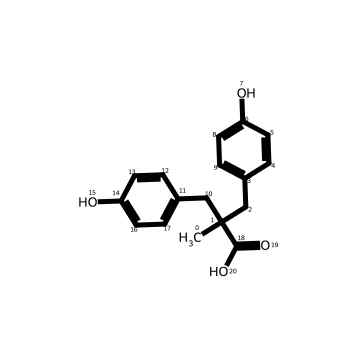 CC(Cc1ccc(O)cc1)(Cc1ccc(O)cc1)C(=O)O